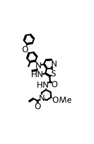 C=CC(=O)N1C[C@H](NC(=O)c2sc3nccc4c3c2[nH]c(=C)n4-c2ccc(Oc3ccccc3)cc2C)C[C@H](OC)C1